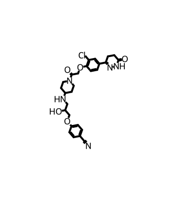 N#Cc1ccc(OCC(O)CNC2CCN(C(=O)COc3ccc(C4=NNC(=O)CC4)cc3Cl)CC2)cc1